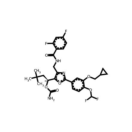 CC(C)(C)C[C@H](OC(N)=O)c1oc(-c2ccc(OC(F)F)c(OCC3CC3)c2)nc1CNC(=O)c1ccc(F)cc1F